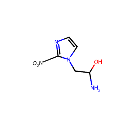 NC(O)Cn1ccnc1[N+](=O)[O-]